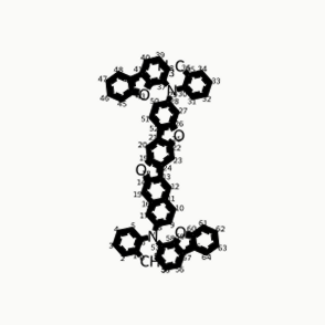 Cc1ccccc1N(c1ccc2cc3c(cc2c1)oc1cc2c(cc13)oc1cc(N(c3ccccc3C)c3cccc4c3oc3ccccc34)ccc12)c1cccc2c1oc1ccccc12